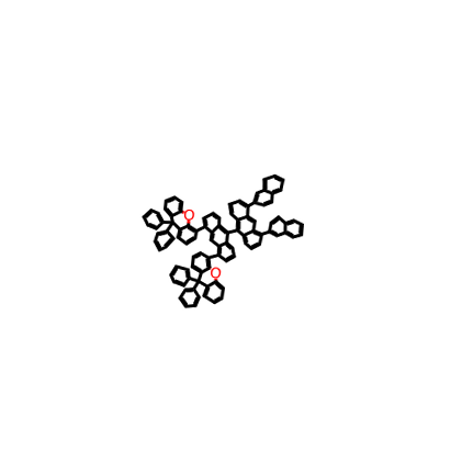 c1ccc(C2(c3ccccc3)c3ccccc3Oc3c(-c4cccc5c(-c6c7cccc(-c8ccc9ccccc9c8)c7cc7c(-c8ccc9ccccc9c8)cccc67)c6cccc(-c7cccc8c7Oc7ccccc7C8(c7ccccc7)c7ccccc7)c6cc45)cccc32)cc1